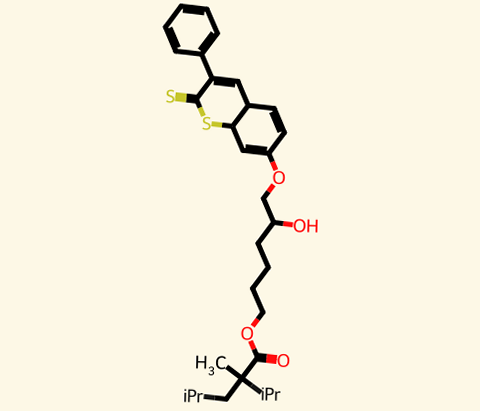 CC(C)CC(C)(C(=O)OCCCCC(O)COC1=CC2SC(=S)C(c3ccccc3)=CC2C=C1)C(C)C